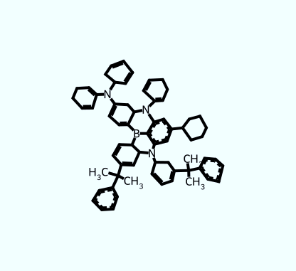 CC(C)(C1=CC2C(C=C1)B1C3=CC=C(N(C4=CCCC=C4)C4C=CC=CC4)CC3N(C3=CCCC=C3)c3cc(C4CCCCC4)cc(c31)N2C1C=CC=C(C(C)(C)c2ccccc2)C1)c1ccccc1